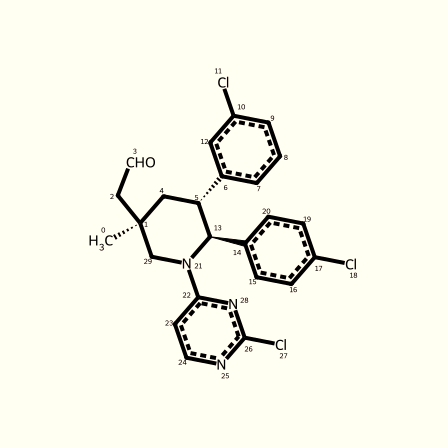 C[C@]1(CC=O)C[C@H](c2cccc(Cl)c2)[C@@H](c2ccc(Cl)cc2)N(c2ccnc(Cl)n2)C1